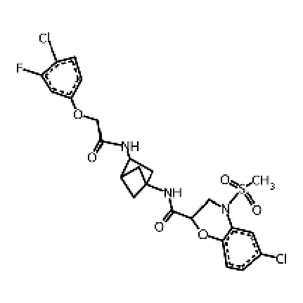 CS(=O)(=O)N1CC(C(=O)NC23CC(C2)C(NC(=O)COc2ccc(Cl)c(F)c2)C3)Oc2ccc(Cl)cc21